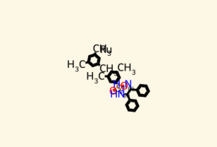 Cc1cc(C)cc(C)c1.Cc1cc(C)cc(S(=O)(=O)N[C@H](c2ccccc2)[C@H](N)c2ccccc2)c1.[Ru]